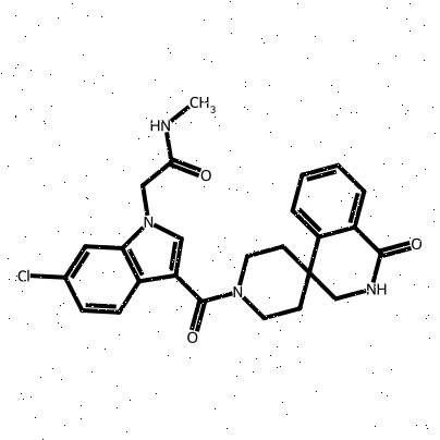 CNC(=O)Cn1cc(C(=O)N2CCC3(CC2)CNC(=O)c2ccccc23)c2ccc(Cl)cc21